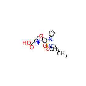 CCCC[C@@H]1CN(c2ccccc2)c2cc3c(cc2S(=O)(=O)N1C)-n1nc(C(=O)O)cc1CO3